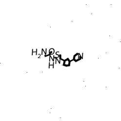 NCC(=O)Nc1nc(-c2cccc(-c3ccncc3)c2)cs1